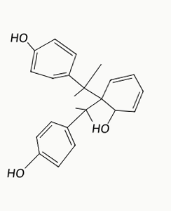 CC(C)(c1ccc(O)cc1)C1(C(C)(C)c2ccc(O)cc2)C=CC=CC1O